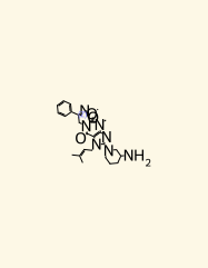 CO/N=C(\Cn1c(=O)c2c(nc(N3CCCC(N)C3)n2CC=C(C)C)n(C)c1=O)c1ccccc1